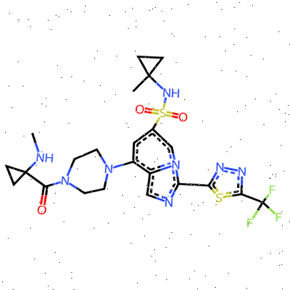 CNC1(C(=O)N2CCN(c3cc(S(=O)(=O)NC4(C)CC4)cn4c(-c5nnc(C(F)(F)F)s5)ncc34)CC2)CC1